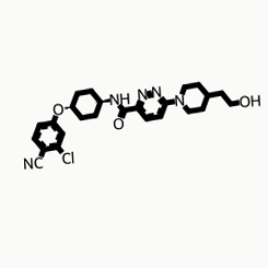 N#Cc1ccc(O[C@H]2CC[C@H](NC(=O)c3ccc(N4CCC(CCO)CC4)nn3)CC2)cc1Cl